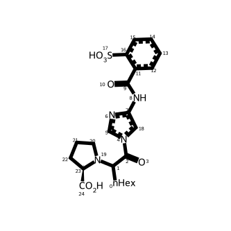 CCCCCCC(C(=O)n1cnc(NC(=O)c2ccccc2S(=O)(=O)O)c1)N1CCC[C@@H]1C(=O)O